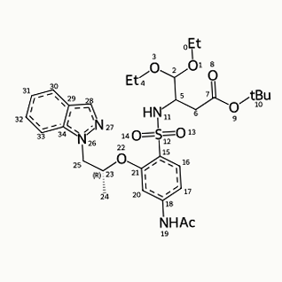 CCOC(OCC)C(CC(=O)OC(C)(C)C)NS(=O)(=O)c1ccc(NC(C)=O)cc1O[C@H](C)Cn1ncc2ccccc21